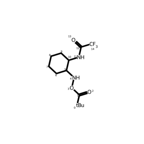 CC(C)(C)C(=O)ONC1CCCCC1NC(=O)C(F)(F)F